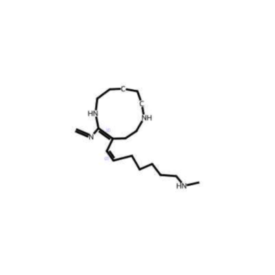 C=N/C1=C(\C=C/CCCCCNC)CCNCCCCCN1